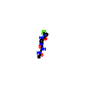 O=C(Cn1cc2cc(NC(=O)c3cccc(C(F)(F)F)n3)ccc2n1)NCCNC(=O)C1CCC1